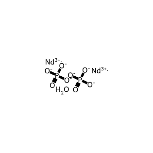 O.O=P([O-])([O-])[O-].O=P([O-])([O-])[O-].[Nd+3].[Nd+3]